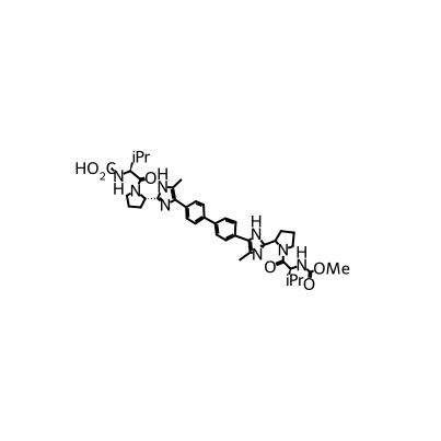 COC(=O)N[C@H](C(=O)N1CCCC1c1nc(C)c(-c2ccc(-c3ccc(-c4nc([C@@H]5CCCN5C(=O)[C@@H](NC(=O)O)C(C)C)[nH]c4C)cc3)cc2)[nH]1)C(C)C